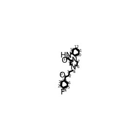 O=C(CCCN1CCN2c3ccccc3NC(=O)C2C1)c1ccc(F)cc1